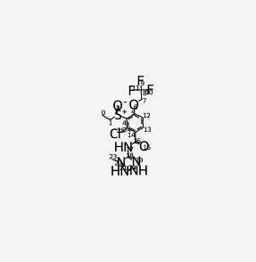 CC[S+]([O-])c1c(OCC(F)(F)F)ccc(C(=O)NC2=NNNN2C)c1Cl